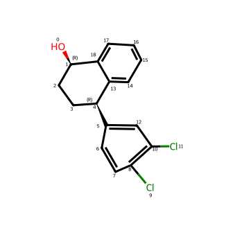 O[C@@H]1CC[C@H](c2ccc(Cl)c(Cl)c2)c2ccccc21